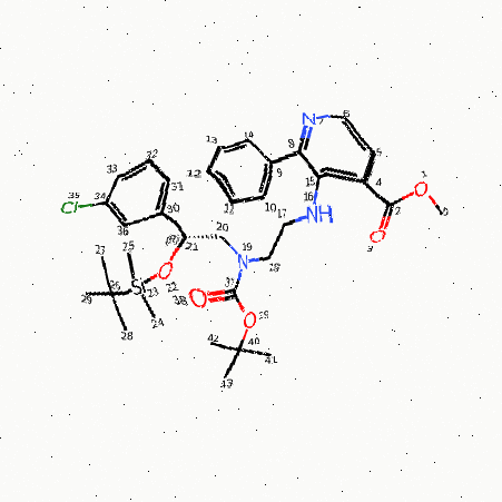 COC(=O)c1ccnc(-c2ccccc2)c1NCCN(C[C@H](O[Si](C)(C)C(C)(C)C)c1cccc(Cl)c1)C(=O)OC(C)(C)C